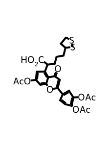 CC(=O)Oc1cc(C(CCCC2CCSS2)C(=O)O)c2c(=O)cc(-c3ccc(OC(C)=O)c(OC(C)=O)c3)oc2c1